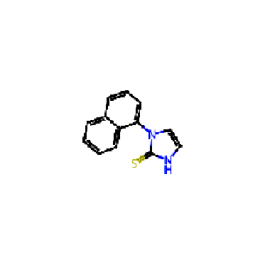 S=c1[nH]ccn1-c1cccc2ccccc12